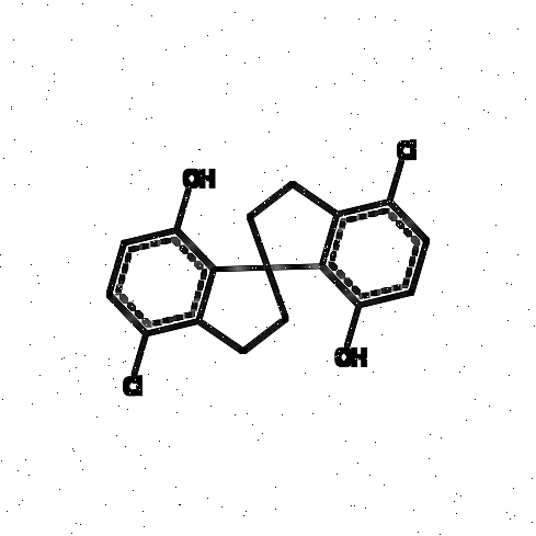 Oc1ccc(Cl)c2c1C1(CC2)CCc2c(Cl)ccc(O)c21